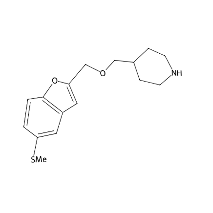 CSc1ccc2oc(COCC3CCNCC3)cc2c1